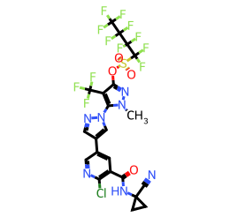 Cn1nc(OS(=O)(=O)C(F)(F)C(F)(F)C(F)(F)C(F)(F)F)c(C(F)(F)F)c1-n1cc(-c2cnc(Cl)c(C(=O)NC3(C#N)CC3)c2)cn1